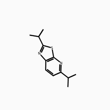 CC(C)c1ccc2nc(C(C)C)sc2n1